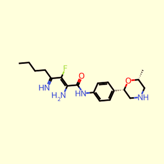 CCCCC(=N)/C(F)=C(\N)C(=O)Nc1ccc([C@H]2CNC[C@@H](C)O2)cc1